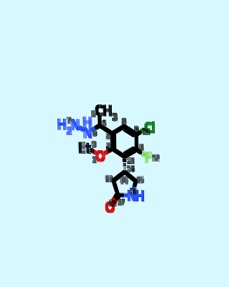 CCOc1c(C(C)NN)cc(Cl)c(F)c1[C@@H]1CNC(=O)C1